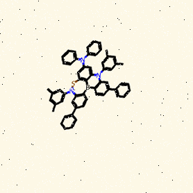 Cc1cc(C)cc(N2Sc3cc(N(c4ccccc4)c4ccccc4)cc4c3B(c3ccc(C5=CCCC=C5)cc32)c2ccc(-c3ccccc3)cc2N4c2cc(C)cc(C)c2)c1